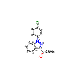 COC(=O)c1nn(-c2ccc(Cl)cc2)c2ccccc12